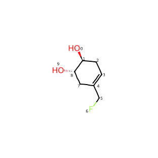 O[C@H]1CC=C(CF)C[C@@H]1O